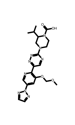 COCOc1cc(-n2nccn2)cnc1-c1cnc(N2CCN(C(=O)O)C(C(C)C)C2)nn1